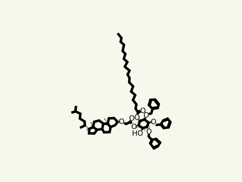 CCCCCCCCCCCCCCCCCCCC(=O)O[C@@H]1C(OCc2ccccc2)[C@@H](OCc2ccccc2)[C@H](OCc2ccccc2)[C@@H](O)[C@@H]1OC(=O)CO[C@H]1CC[C@@]2(C)C(CCC3C2CC[C@@]2(C)C3CC[C@@H]2C(C)CCCC(C)C)C1